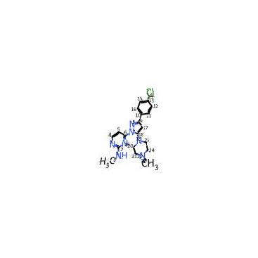 CNc1nccc(-n2nc(-c3ccc(Cl)cc3)cc2N2CCN(C)CC2)n1